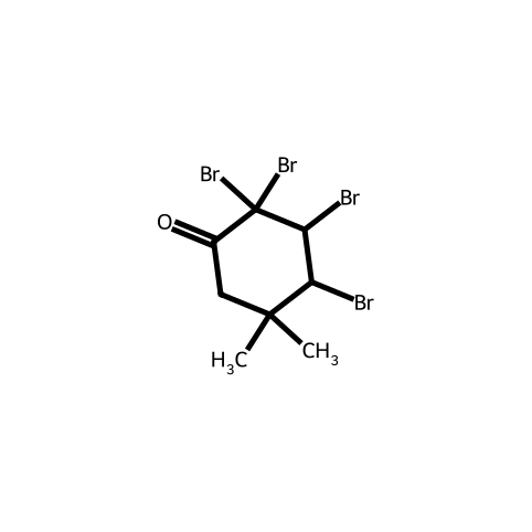 CC1(C)CC(=O)C(Br)(Br)C(Br)C1Br